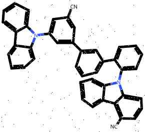 N#Cc1cc(-c2cccc(-c3ccccc3-n3c4ccccc4c4c(C#N)cccc43)c2)cc(-n2c3ccccc3c3ccccc32)c1